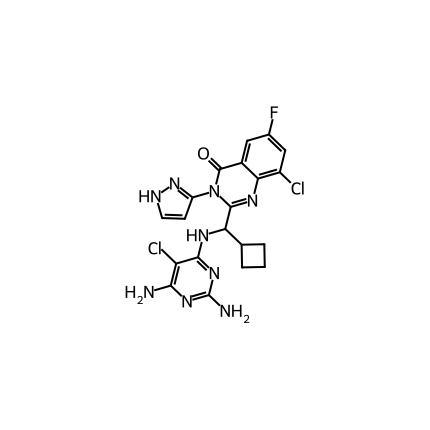 Nc1nc(N)c(Cl)c(NC(c2nc3c(Cl)cc(F)cc3c(=O)n2-c2cc[nH]n2)C2CCC2)n1